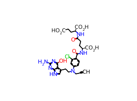 C#CCN(CCc1c[nH]c2nc(N)nc(O)c12)c1ccc(C(=O)N[C@@H](CCC(=O)N[C@@H](CCC(=O)O)C(=O)O)C(=O)O)c(Cl)c1